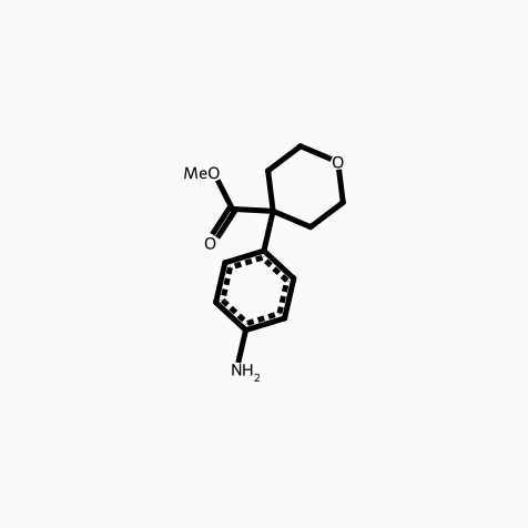 COC(=O)C1(c2ccc(N)cc2)CCOCC1